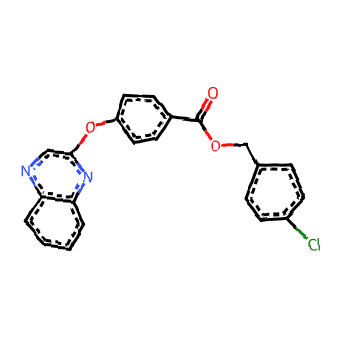 O=C(OCc1ccc(Cl)cc1)c1ccc(Oc2cnc3ccccc3n2)cc1